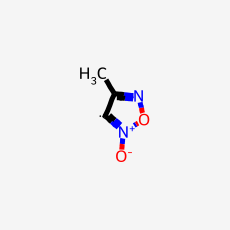 Cc1[c][n+]([O-])on1